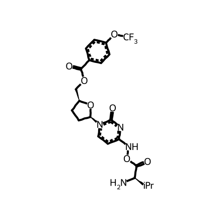 CC(C)[C@@H](N)C(=O)ONc1ccn([C@H]2CC[C@@H](COC(=O)c3ccc(OC(F)(F)F)cc3)O2)c(=O)n1